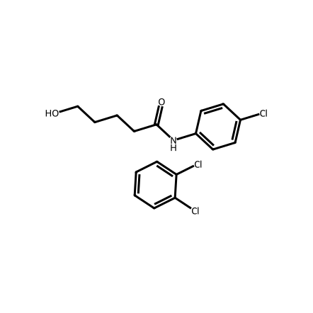 Clc1ccccc1Cl.O=C(CCCCO)Nc1ccc(Cl)cc1